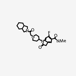 CNC(=O)c1cc2c(cc1F)N(C1CCN(CC(=O)N3CC4CCCCC4C3)CC1)C(=O)C2